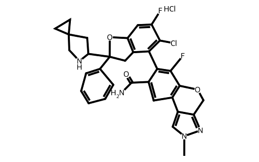 Cl.Cn1cc2c(n1)COc1c-2cc(C(N)=O)c(-c2c(Cl)c(F)cc3c2CC(c2ccccc2)(C2CC4(CC4)CN2)O3)c1F